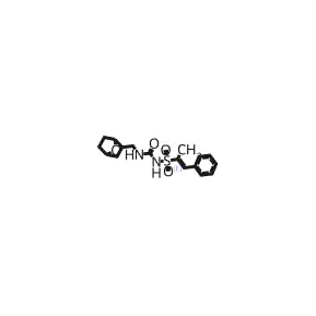 C/C(=C\c1ccccc1)S(=O)(=O)NC(=O)NCC1CC2CCC1O2